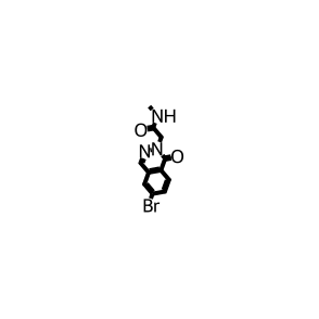 CNC(=O)Cn1ncc2cc(Br)ccc2c1=O